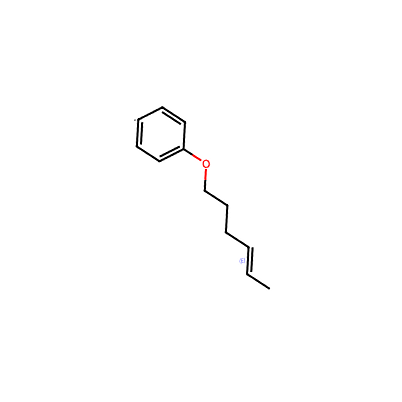 C/C=C/CCCOc1cc[c]cc1